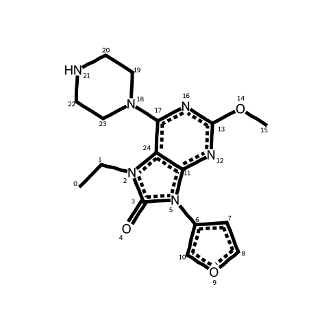 CCn1c(=O)n(-c2ccoc2)c2nc(OC)nc(N3CCNCC3)c21